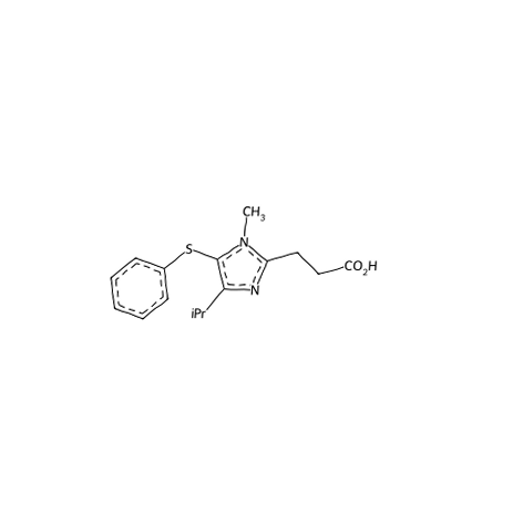 CC(C)c1nc(CCC(=O)O)n(C)c1Sc1ccccc1